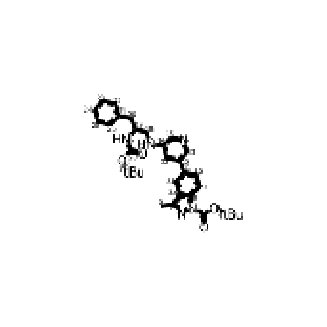 Cc1nn(C(=O)OC(C)(C)C)c2ccc(-c3cncc(NCC(Cc4ccccc4)NC(=O)OC(C)(C)C)c3)cc12